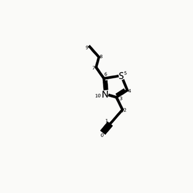 C#C[CH]c1csc(CCC)n1